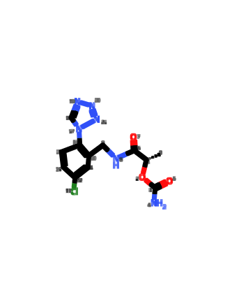 C[C@H](OC(N)=O)C(=O)NCc1cc(Cl)ccc1-n1cnnn1